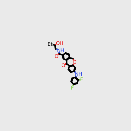 CCC(O)CNC(=O)c1ccc2c(c1)C(=O)c1ccc(Nc3ccc(F)cc3F)cc1OC2